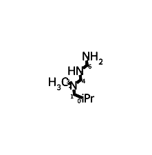 CC(C)CN(C)CNCN